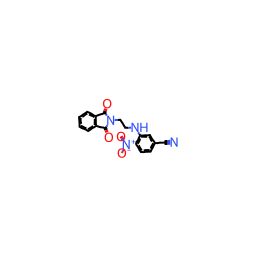 N#Cc1ccc([N+](=O)[O-])c(NCCN2C(=O)c3ccccc3C2=O)c1